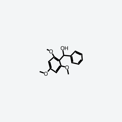 COc1cc(OC)c(C(O)c2ccccc2)c(OC)c1